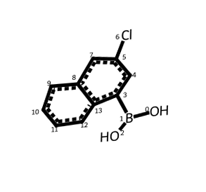 OB(O)c1cc(Cl)cc2ccccc12